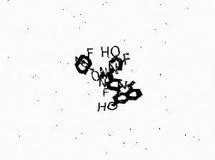 CCc1cccc2cc(O)cc(-c3ncc4c(N5C[C@@H](O)[C@H](F)C5)nc(OC[C@]56CCCN(C[C@H](F)C5)S6)nc4c3F)c12